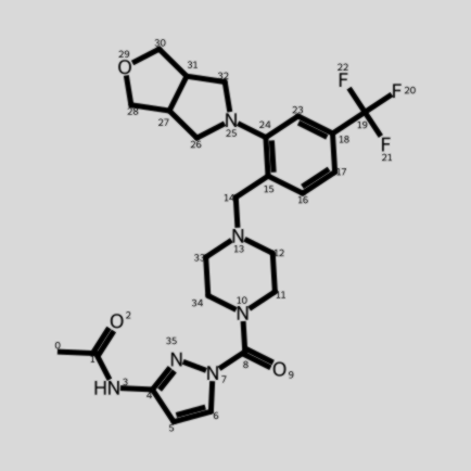 CC(=O)Nc1ccn(C(=O)N2CCN(Cc3ccc(C(F)(F)F)cc3N3CC4COCC4C3)CC2)n1